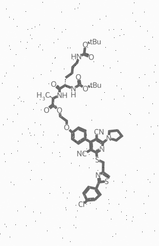 C[C@H](NC(=O)[C@H](CCCCNC(=O)OC(C)(C)C)NC(=O)OC(C)(C)C)C(=O)OCCOc1ccc(-c2c(C#N)c(SCc3csc(-c4ccc(Cl)cc4)n3)nc(N3CCCC3)c2C#N)cc1